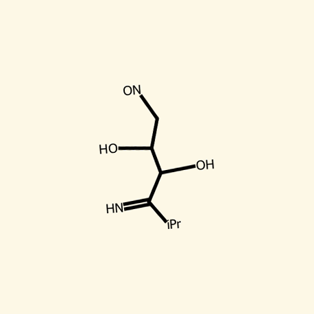 CC(C)C(=N)C(O)C(O)CN=O